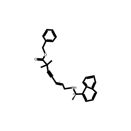 C[C@@H](NC/C=C/C#CC(C)(C)C(=O)OCc1ccccc1)c1cccc2ccccc12